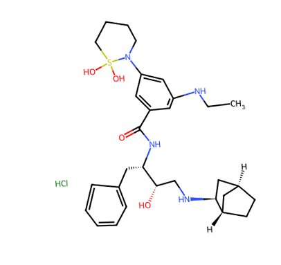 CCNc1cc(C(=O)N[C@@H](Cc2ccccc2)[C@@H](O)CN[C@H]2C[C@H]3CC[C@H]2C3)cc(N2CCCCS2(O)O)c1.Cl